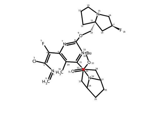 C=N/C(Cl)=C(/F)c1nc(OC[C@]23CCCN2C[C@@H](F)C3)nc(N2CC3CCC(C2)N3C(=O)OC(C)(C)C)c1C